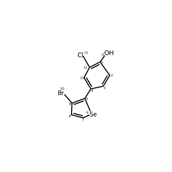 Oc1ccc(-c2[se]ccc2Br)cc1Cl